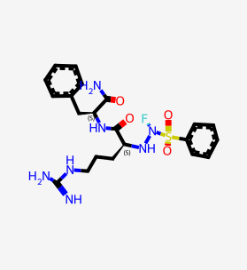 N=C(N)NCCC[C@H](NN(F)S(=O)(=O)c1ccccc1)C(=O)N[C@@H](Cc1ccccc1)C(N)=O